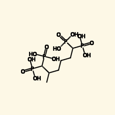 CC(CCCC(P(=O)(O)O)P(=O)(O)O)C(P(=O)(O)O)P(=O)(O)O